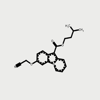 CC(C)CCOC(=O)c1c2ccc(OCC#N)cc2n2ccccc12